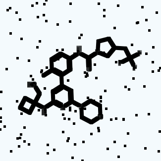 Cc1ccc(NC(=O)N2CCC(CC(F)(F)F)C2)cc1-c1cc(NC2(CO)CCC2)nc(N2CCOCC2)c1